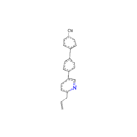 C=CCc1ccc(-c2ccc(-c3ccc(C#N)cc3)cc2)cn1